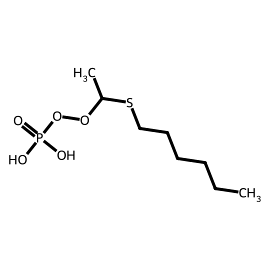 CCCCCCSC(C)OOP(=O)(O)O